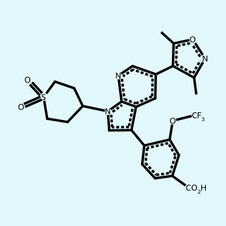 Cc1noc(C)c1-c1cnc2c(c1)c(-c1ccc(C(=O)O)cc1OC(F)(F)F)cn2C1CCS(=O)(=O)CC1